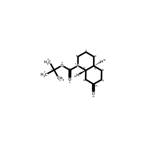 CC(C)(C)OC(=O)N1CCC[C@H]2CCC(=O)C[C@@H]21